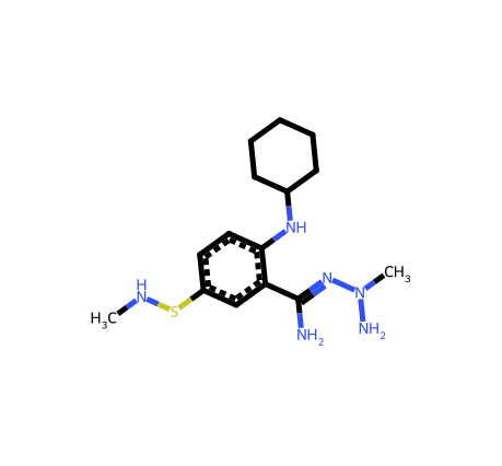 CNSc1ccc(NC2CCCCC2)c(/C(N)=N/N(C)N)c1